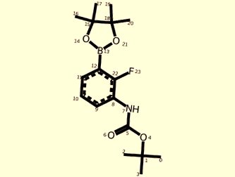 CC(C)(C)OC(=O)Nc1cccc(B2OC(C)(C)C(C)(C)O2)c1F